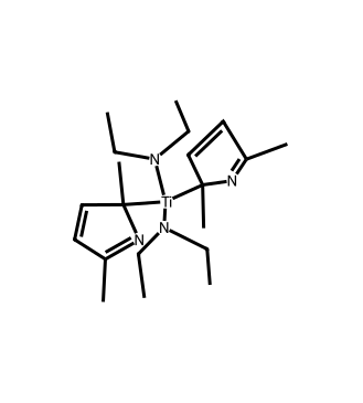 CC[N](CC)[Ti]([N](CC)CC)([C]1(C)C=CC(C)=N1)[C]1(C)C=CC(C)=N1